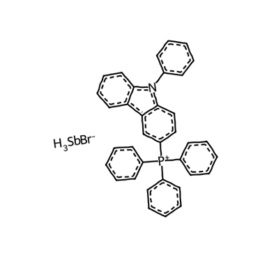 [Br-].[SbH3].c1ccc(-n2c3ccccc3c3cc([P+](c4ccccc4)(c4ccccc4)c4ccccc4)ccc32)cc1